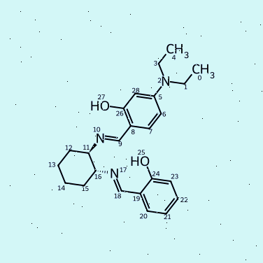 CCN(CC)c1ccc(/C=N/[C@@H]2CCCC[C@H]2/N=C/c2ccccc2O)c(O)c1